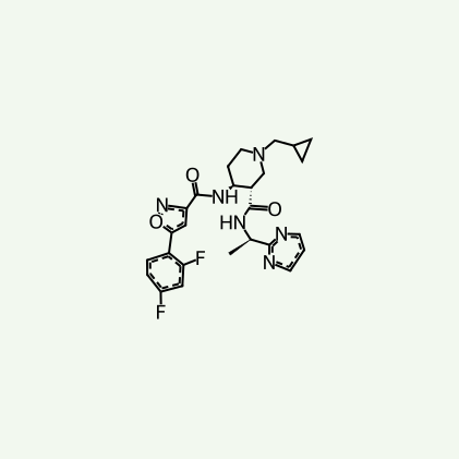 C[C@@H](NC(=O)[C@H]1CN(CC2CC2)CC[C@@H]1NC(=O)c1cc(-c2ccc(F)cc2F)on1)c1ncccn1